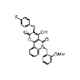 COc1ccccc1Cn1c(=O)c2c(O)c(Sc3ccc(F)cc3)c(=O)oc2c2ccccc21